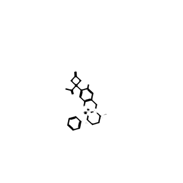 CC(=O)C1(c2cc(F)c(CN3[C@@H](C)CC[C@H](c4ccccc4)S3(=O)=O)cc2F)CC(=O)C1